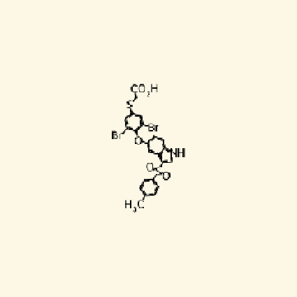 Cc1ccc(S(=O)(=O)c2c[nH]c3ccc(Oc4c(Br)cc(SCC(=O)O)cc4Br)cc23)cc1